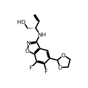 C=C[C@@H](CO)Nc1noc2c(F)c(F)c(C3OCCO3)cc12